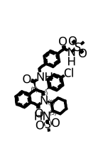 CS(=O)(=O)NC(=O)c1ccc(CNC(=O)[C@@H]2c3ccccc3C(=O)N([C@H]3CCCC[C@@H]3NS(C)(=O)=O)[C@H]2c2ccc(Cl)cc2)cc1